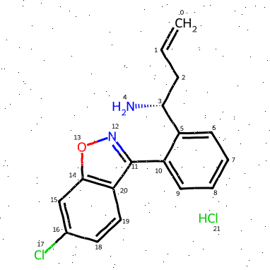 C=CC[C@@H](N)c1ccccc1-c1noc2cc(Cl)ccc12.Cl